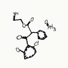 CC(C)CCOC(=O)C(C(=O)c1c(Cl)cccc1Cl)c1ccccc1.O=[PH3]